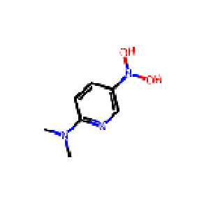 CN(C)c1ccc(N(O)O)cn1